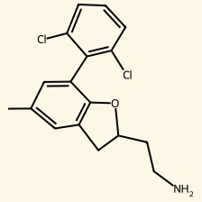 Cc1cc2c(c(-c3c(Cl)cccc3Cl)c1)OC(CCN)C2